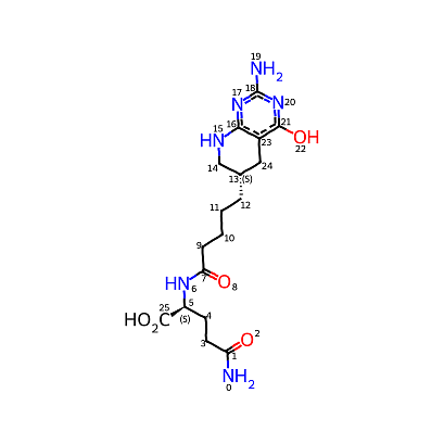 NC(=O)CC[C@H](NC(=O)CCCC[C@@H]1CNc2nc(N)nc(O)c2C1)C(=O)O